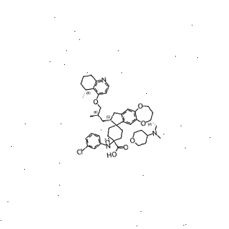 C[C@@H](COc1ccnc2c1[C@H](C)CCC2)C[C@H]1Cc2cc3c(cc2C12CCC(Nc1cccc(Cl)c1)(C(=O)O)CC2)O[C@@H](CN(C)C1CCOCC1)CCO3